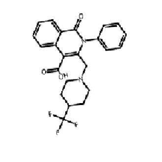 O=C(O)c1c(CN2CCC(C(F)(F)F)CC2)n(-c2ccccc2)c(=O)c2ccccc12